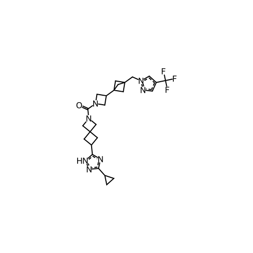 O=C(N1CC(C23CC(Cn4cc(C(F)(F)F)cn4)(C2)C3)C1)N1CC2(CC(c3nc(C4CC4)n[nH]3)C2)C1